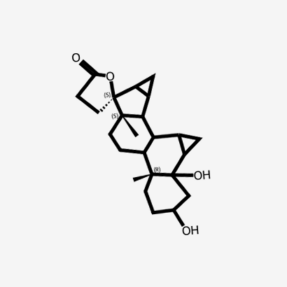 C[C@]12CCC3C(C4CC4C4(O)CC(O)CC[C@]34C)C1C1CC1[C@@]21CCC(=O)O1